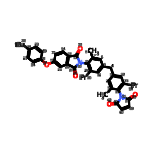 Cc1cc(Cc2cc(C)c(N3C(=O)c4ccc(Oc5ccc(C(C)(C)C)cc5)cc4C3=O)c(C(C)C)c2)cc(C(C)C)c1N1C(=O)C=CC1=O